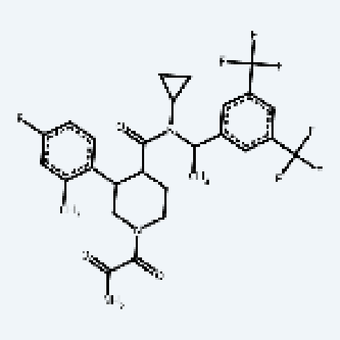 Cc1cc(F)ccc1C1CN(C(=O)C(N)=O)CCC1C(=O)N(C1CC1)C(C)c1cc(C(F)(F)F)cc(C(F)(F)F)c1